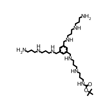 CC(C)(C)OC(=O)NCCCNCCCNCc1cc(CNCCCNCCCN)cc(CNCCCNCCCN)c1